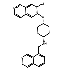 Clc1cc2cnccc2cc1O[C@H]1CC[C@H](NCc2cccc3ccccc23)CC1